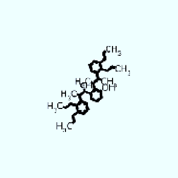 CCCc1cccc(C(C)C(C)c2cccc(O)c2C(C)C(C)c2cccc(CCC)c2CCC)c1CCC